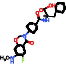 CNc1cc2c(cc1F)C(=O)N(c1ccc(C(=O)N[C@H](Cc3ccccc3)C(=O)O)cc1)CO2